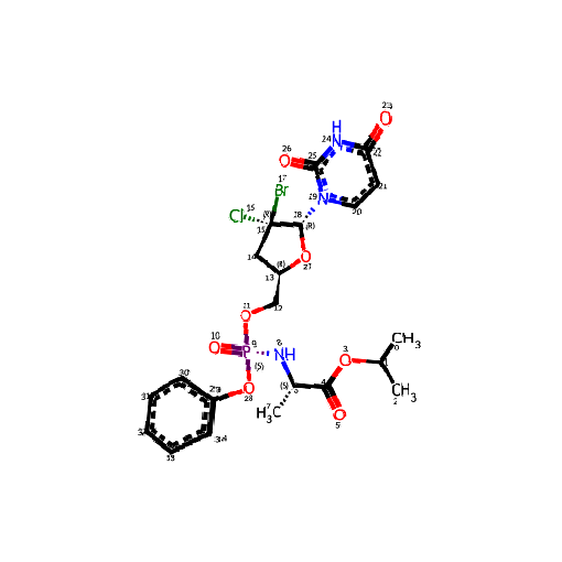 CC(C)OC(=O)[C@H](C)N[P@](=O)(OC[C@H]1[CH][C@@](Cl)(Br)[C@H](n2ccc(=O)[nH]c2=O)O1)Oc1ccccc1